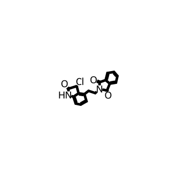 O=C1Nc2cccc(CCN3C(=O)c4ccccc4C3=O)c2C1Cl